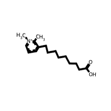 Cc1c(CCCCCCCCC(=O)O)ccc[n+]1C